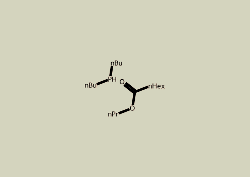 CCCCCCC(=O)OCCC.CCCCPCCCC